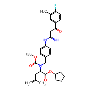 C=C(C)CC(C(=O)OC1CCCC1)N(Cc1ccc(NC(=N)CC(=O)c2ccc(F)c(C)c2)cc1)C(=O)OC(C)(C)C